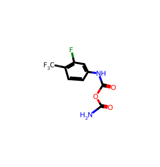 NC(=O)OC(=O)Nc1ccc(C(F)(F)F)c(F)c1